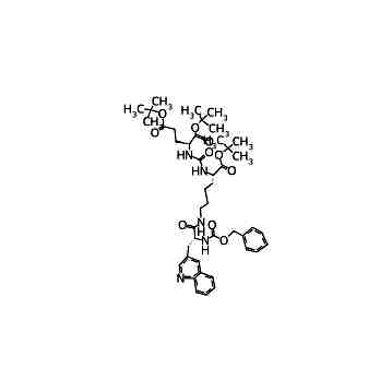 CC(C)(C)OC(=O)CC[C@H](NC(=O)N[C@@H](CCCCNC(=O)[C@@H](Cc1cnc2ccccc2c1)NC(=O)OCc1ccccc1)C(=O)OC(C)(C)C)C(=O)OC(C)(C)C